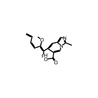 C=C/C=C\C(OC)=C(/F)c1cc2cnc(C)n2cc1C(=O)O